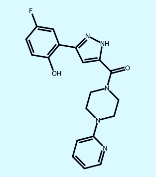 O=C(c1cc(-c2cc(F)ccc2O)n[nH]1)N1CCN(c2ccccn2)CC1